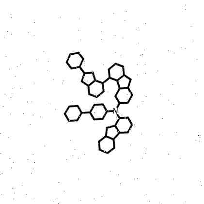 C1CCC(C2CCC(N(C3CCC4CC5CCCC(C6CCCC7CC(C8CCCCC8)CC76)C5C4C3)C3CCCC4C5CCCCC5CC43)CC2)CC1